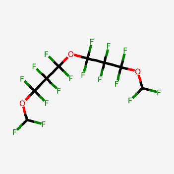 FC(F)OC(F)(F)C(F)(F)C(F)(F)OC(F)(F)C(F)(F)C(F)(F)OC(F)F